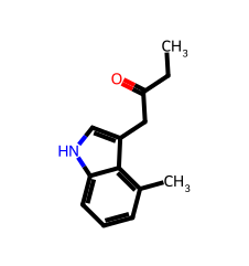 CCC(=O)Cc1c[nH]c2cccc(C)c12